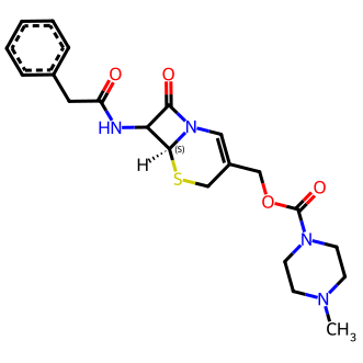 CN1CCN(C(=O)OCC2=CN3C(=O)C(NC(=O)Cc4ccccc4)[C@@H]3SC2)CC1